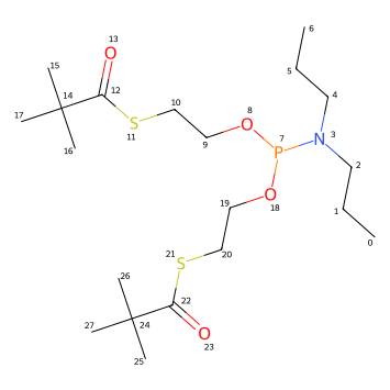 CCCN(CCC)P(OCCSC(=O)C(C)(C)C)OCCSC(=O)C(C)(C)C